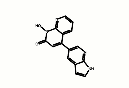 O=c1cc(-c2cnc3[nH]ccc3c2)c2cccnc2n1O